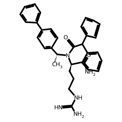 C[C@H](c1ccc(-c2ccccc2)cc1)N(C(=O)C(c1ccccc1)c1ccccc1)[C@H](CCCNC(=N)N)C(N)=O